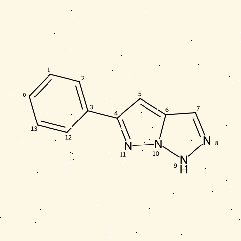 c1ccc(-c2cc3cn[nH]n3n2)cc1